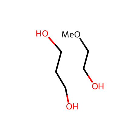 COCCO.OCCCO